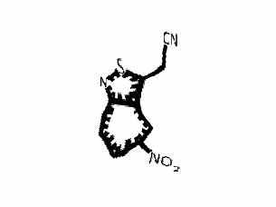 N#CCc1snc2ccc([N+](=O)[O-])cc12